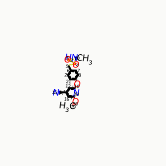 CNS(=O)(=O)Cc1ccc(Oc2cc(C#N)cc(OC)n2)cc1